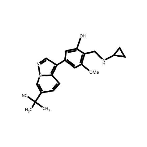 COc1cc(-c2cnn3cc(C(C)(C)C#N)ccc23)cc(O)c1CNC1CC1